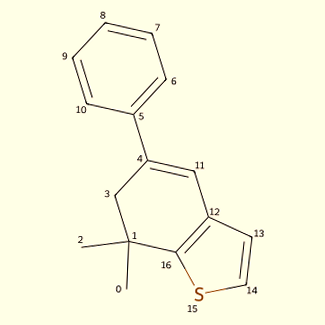 CC1(C)CC(c2ccccc2)=Cc2ccsc21